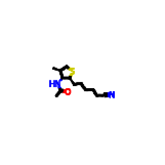 CC(=O)N[C@@H]1[C@H](CCCCCC#N)SC[C@@H]1C